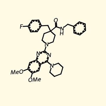 COc1cc2nc(N3CCC(Cc4ccc(F)cc4)(C(=O)NCc4ccccc4)CC3)nc(N3CCCCC3)c2cc1OC